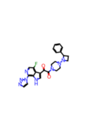 O=C(C(=O)N1CCN(N2CCC2c2ccccc2)CC1)c1c[nH]c2c(-n3ccnn3)ncc(F)c12